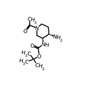 CC(=O)N1CC[C@@H](N)[C@@H](NC(=O)OC(C)(C)C)C1